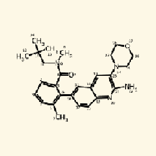 Cc1cccc(C(=O)N(C)CC(C)(C)C)c1-c1ccc2nc(N)c(N3CCOCC3)cc2c1